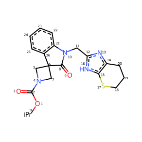 CC(C)OC(=O)N1CC2(C1)C(=O)N(Cc1nc3c([nH]1)SCCC3)c1ccccc12